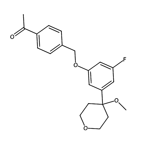 COC1(c2cc(F)cc(OCc3ccc(C(C)=O)cc3)c2)CCOCC1